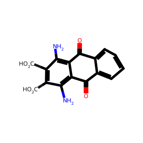 Nc1c(C(=O)O)c(C(=O)O)c(N)c2c1C(=O)c1ccccc1C2=O